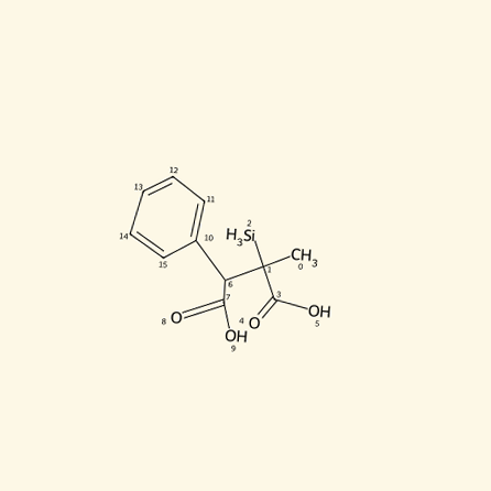 CC([SiH3])(C(=O)O)C(C(=O)O)c1ccccc1